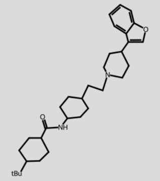 CC(C)(C)C1CCC(C(=O)NC2CCC(CCN3CCC(c4coc5ccccc45)CC3)CC2)CC1